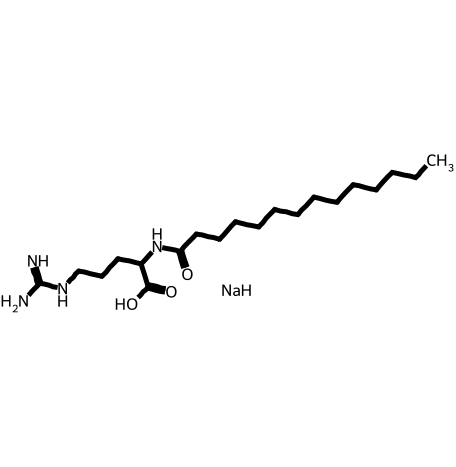 CCCCCCCCCCCCCC(=O)NC(CCCNC(=N)N)C(=O)O.[NaH]